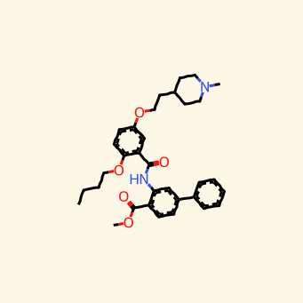 CCCCOc1ccc(OCCC2CCN(C)CC2)cc1C(=O)Nc1cc(-c2ccccc2)ccc1C(=O)OC